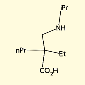 CCCC(CC)(CNC(C)C)C(=O)O